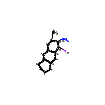 Bc1cc2cc3ccccc3cc2c(I)c1N